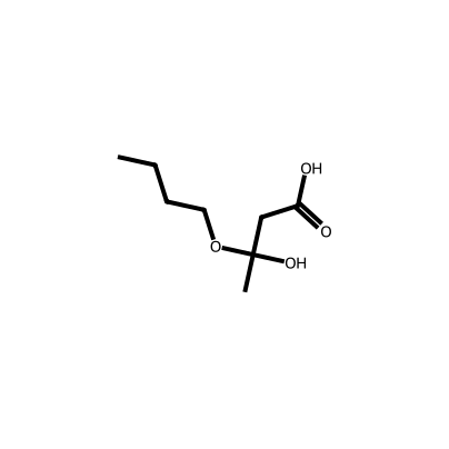 CCCCOC(C)(O)CC(=O)O